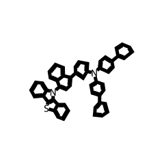 c1ccc(-c2ccc(N(c3ccc(-c4ccccc4)cc3)c3cccc(-c4ccc(-n5c6ccccc6c6sc7ccccc7c65)c5ccccc45)c3)cc2)cc1